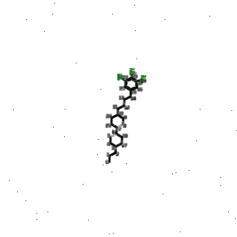 CCC[C@H]1CC[C@H]([C@H]2CC[C@H](CCCCc3cc(F)c(F)c(F)c3)CC2)CC1